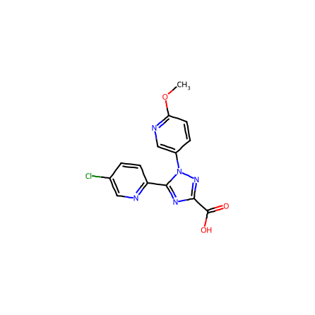 COc1ccc(-n2nc(C(=O)O)nc2-c2ccc(Cl)cn2)cn1